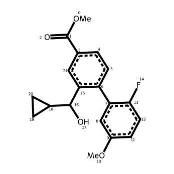 COC(=O)c1ccc(-c2cc(OC)ccc2F)c(C(O)C2CC2)c1